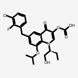 CC[C@@H](CO)n1cc(OC(=O)O)c(=O)c2cc(Cc3cccc(Cl)c3F)cc(OC(C)C)c21